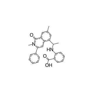 Cc1cc(C(C)Nc2ccccc2C(=O)O)c2cc(-c3ccccc3)n(C)c(=O)c2c1